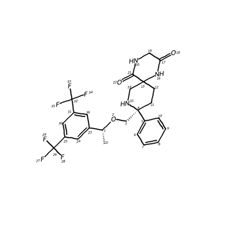 C[C@@H](OC[C@@]1(c2ccccc2)CCC2(CN1)NC(=O)CNC2=O)c1cc(C(F)(F)F)cc(C(F)(F)F)c1